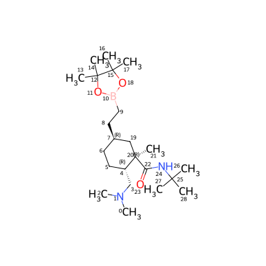 CN(C)C[C@@H]1CC[C@@H](CCB2OC(C)(C)C(C)(C)O2)C[C@@]1(C)C(=O)NC(C)(C)C